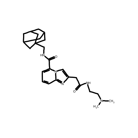 CN(C)CCNC(=O)Cc1cn2c(C(=O)NCC34CC5CC(CC(C5)C3)C4)cccc2n1